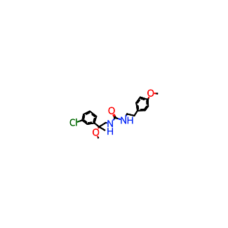 COc1ccc(CCNC(=O)NCC(C)(OC)c2cccc(Cl)c2)cc1